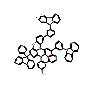 CC(C)(C)c1ccc(N2c3ccc(-c4cccc(-n5c6ccccc6c6ccccc65)c4)cc3B3c4cc(-c5cccc(-n6c7ccccc7c7ccccc76)c5)ccc4Oc4cc(C5(c6ccccc6)c6ccccc6-c6ccccc65)cc2c43)c(-c2ccccc2)c1